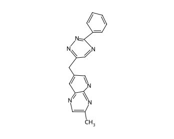 Cc1cnc2cc(Cc3cnc(-c4ccccc4)nn3)cnc2n1